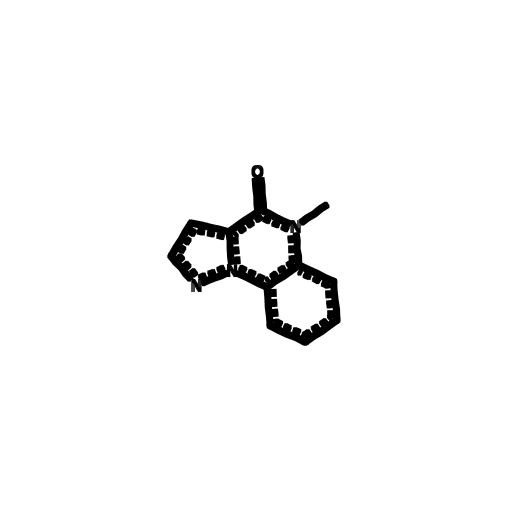 Cn1c(=O)c2ccnn2c2ccccc21